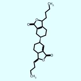 CCC/C=C1\OC(=O)C2=CC([C@@H]3CCC4=C(C3)C(=O)OC4CCCC)CCC21